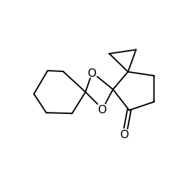 O=C1CCC2(CC2)C12OC1(CCCCC1)O2